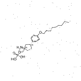 CCCCCCCCCOc1ccc([C@@H]2CC[C@](N)(COP(=O)(O)O)C2)cc1